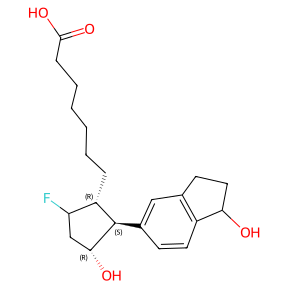 O=C(O)CCCCCC[C@H]1C(F)C[C@@H](O)[C@@H]1c1ccc2c(c1)CCC2O